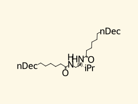 CCCCCCCCCCCCCCCC(=O)NC[C@H](NC(=O)CCCCCCCCCCCCCCC)C(C)C